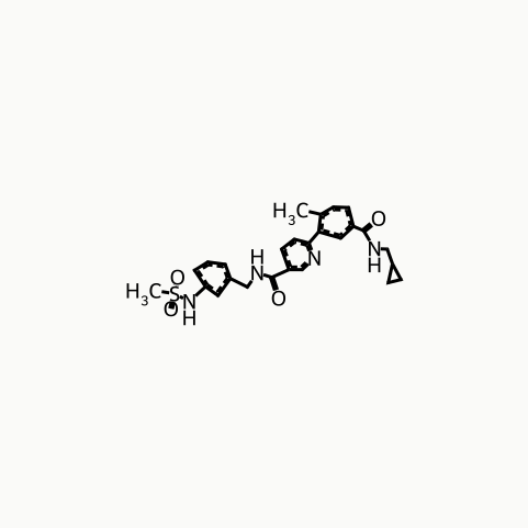 Cc1ccc(C(=O)NCC2CC2)cc1-c1ccc(C(=O)NCc2cccc(NS(C)(=O)=O)c2)cn1